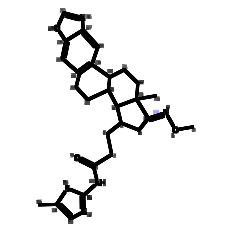 CO/N=C1\CC(CCC(=O)Nc2ncc(C)s2)C2C3CCc4cc5ocnc5cc4C3CCC12C